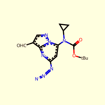 CC(C)(C)OC(=O)N(c1cc(N=[N+]=[N-])nc2c(C=O)cnn12)C1CC1